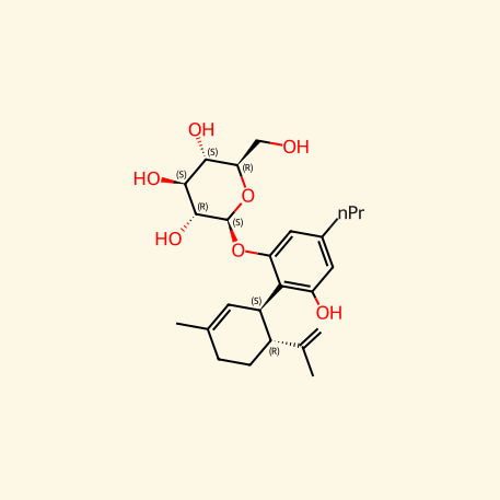 C=C(C)[C@@H]1CCC(C)=C[C@H]1c1c(O)cc(CCC)cc1O[C@@H]1O[C@H](CO)[C@@H](O)[C@H](O)[C@H]1O